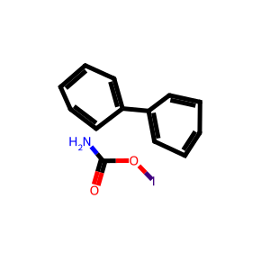 NC(=O)OI.c1ccc(-c2ccccc2)cc1